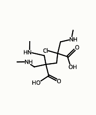 CNCC(Cl)(CC(CNC)(CNC)C(=O)O)C(=O)O